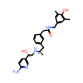 Cc1cc(CNC(=O)Cc2cccc(C[C@@H](C)NC[C@@H](O)c3ccc(N)nc3)c2)cc(C)c1O